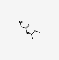 CO/C(C)=N\C(=O)CN